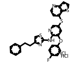 Cl.Cl.Fc1ccc(Oc2cc(Sc3ccnc4ccsc34)cnc2Nc2nc(CCc3ccccc3)cs2)cc1